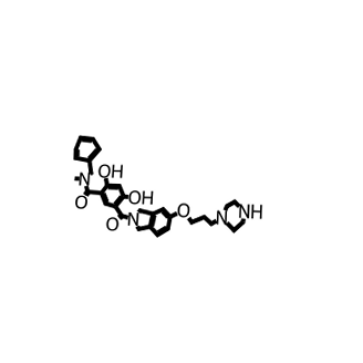 CN(Cc1ccccc1)C(=O)c1cc(C(=O)N2Cc3ccc(OCCCN4CCNCC4)cc3C2)c(O)cc1O